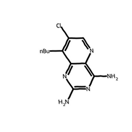 CCCCc1c(Cl)cnc2c(N)nc(N)nc12